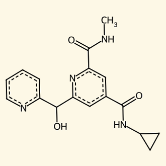 CNC(=O)c1cc(C(=O)NC2CC2)cc(C(O)c2ccccn2)n1